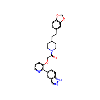 O=C(COc1cccnc1-c1ccc2[nH]ncc2c1)N1CCC(CCc2ccc3c(c2)OCO3)CC1